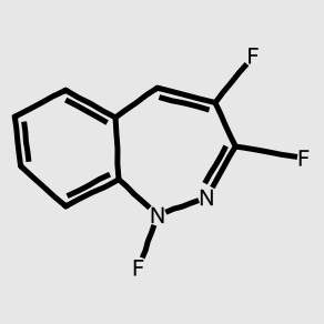 FC1=Cc2ccccc2N(F)N=C1F